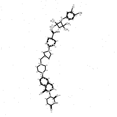 CC1(C)[C@H](NC(=O)c2cnc(N3CCC(CN4CCN(c5ccc6c(=O)n([C@@H]7CCC(=O)NC7=O)ncc6c5)CC4)C3)nc2)C(C)(C)[C@H]1Oc1ccc(C#N)c(Cl)c1